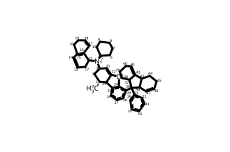 C[C@@H]1CC(N(C2CCCCC2)C2CC=CC3=C2C=CCC3)C=C2Oc3c(cccc3C3(c4ccccc4)C4CCCC=C4C4CCC=CC43)C21